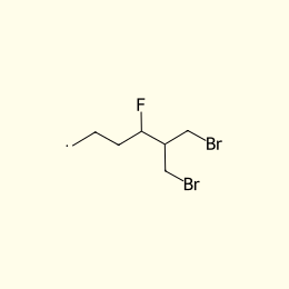 [CH2]CCC(F)C(CBr)CBr